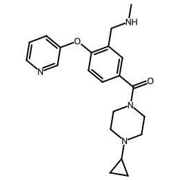 CNCc1cc(C(=O)N2CCN(C3CC3)CC2)ccc1Oc1cccnc1